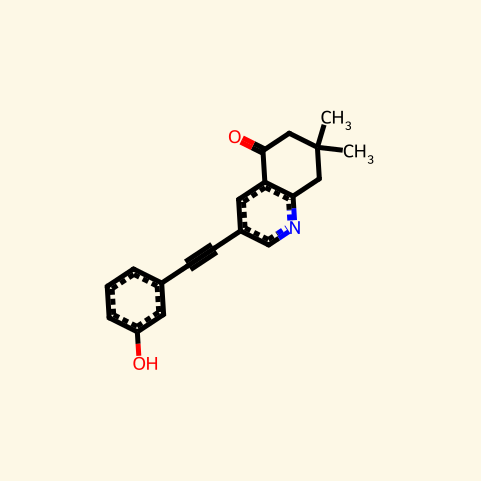 CC1(C)CC(=O)c2cc(C#Cc3cccc(O)c3)cnc2C1